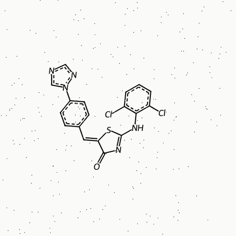 O=C1N=C(Nc2c(Cl)cccc2Cl)S/C1=C\c1ccc(-n2cncn2)cc1